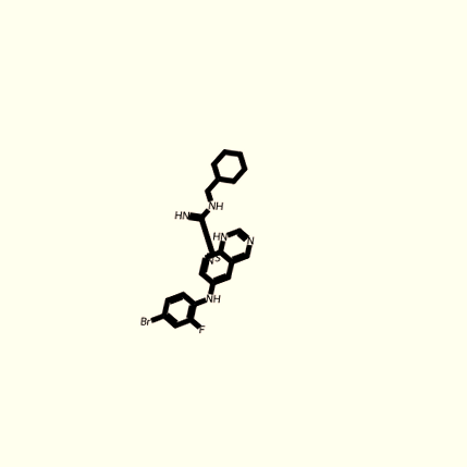 N=C(NCC1CCCCC1)C1=NC2=CC(Nc3ccc(Br)cc3F)=CC3=CN=CNC32S1